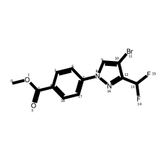 COC(=O)c1ccc(-n2cc(Br)c(C(F)F)n2)cc1